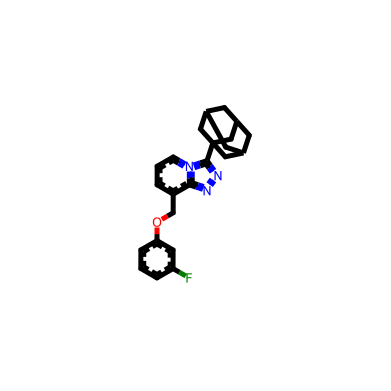 Fc1cccc(OCc2cccn3c(C45CC6CC(CC(C6)C4)C5)nnc23)c1